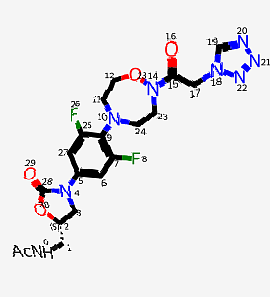 CC(=O)NC[C@H]1CN(c2cc(F)c(N3CCON(C(=O)Cn4cnnn4)CC3)c(F)c2)C(=O)O1